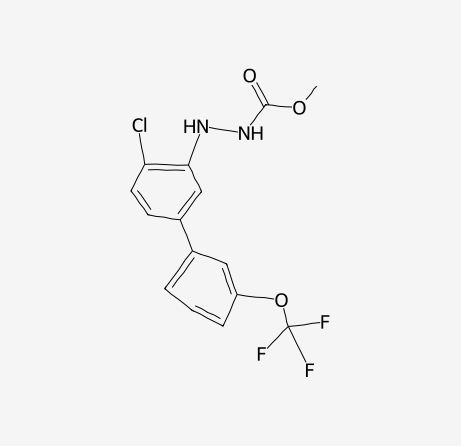 COC(=O)NNc1cc(-c2cccc(OC(F)(F)F)c2)ccc1Cl